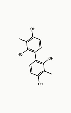 Cc1c(O)ccc(-c2ccc(O)c(C)c2O)c1O